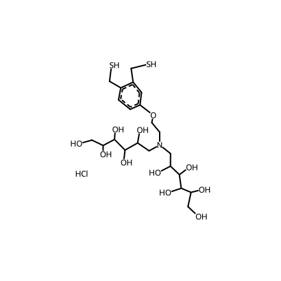 Cl.OCC(O)C(O)C(O)C(O)CN(CCOc1ccc(CS)c(CS)c1)CC(O)C(O)C(O)C(O)CO